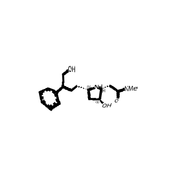 CNC(=O)C[C@H]1N[C@@H](CCC(CO)c2ccccc2)C[C@@H]1O